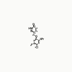 CC(C)c1cc(Cl)c(F)cc1OCc1ccc(=O)[nH]n1